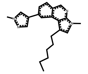 CCCCCCc1cn(C)c2ncc3ccc(-c4cnn(C)c4)cc3c12